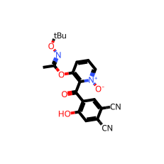 CC(=NOC(C)(C)C)Oc1ccc[n+]([O-])c1C(=O)c1cc(C#N)c(C#N)cc1O